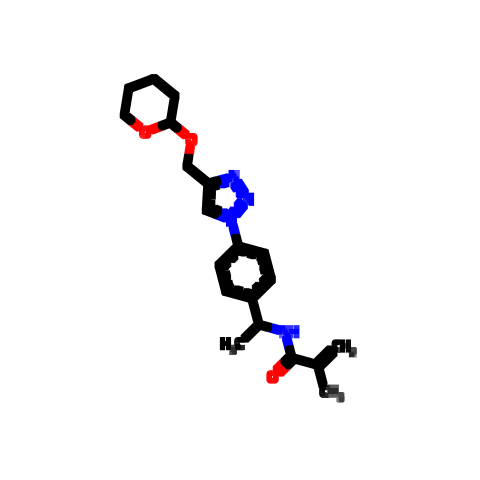 C=C(C)C(=O)NC(C)c1ccc(-n2cc(COC3CCCCO3)nn2)cc1